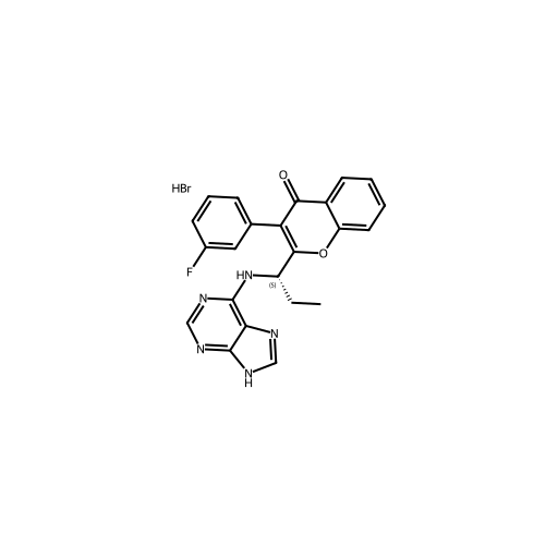 Br.CC[C@H](Nc1ncnc2[nH]cnc12)c1oc2ccccc2c(=O)c1-c1cccc(F)c1